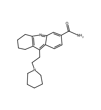 NC(=O)c1ccc2c(CCN3CCCCC3)c3c(nc2c1)CCCC3